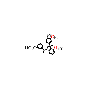 CCOc1cc(C(C)(CCC(C)c2cccc(C(=O)O)c2)c2ccccc2OC(C)C)ccc1C(C)C